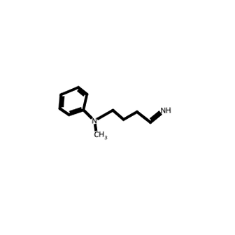 CN(CCCC=N)c1ccccc1